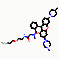 CC1CCN(c2ccc3c(-c4ccccc4C(=O)N(C)CC(=O)NCCOCCC(=O)O)c4ccc(=[N+]5CCN(C)CC5)cc-4oc3c2)CC1